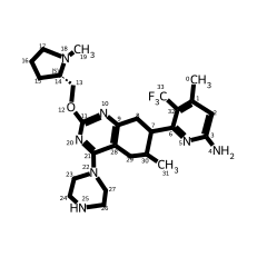 Cc1cc(N)nc(C2Cc3nc(OC[C@@H]4CCCN4C)nc(N4CCNCC4)c3CC2C)c1C(F)(F)F